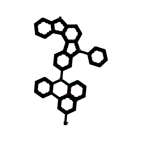 Brc1cccc(-c2ccccc2N(c2ccccc2)c2ccc3c4c5c(ccc4n(-c4ccccc4)c3c2)sc2ccccc25)c1